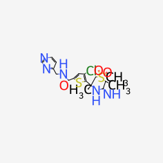 CC1(C)C(=N)N[C@](C)(c2sc(C(=O)NCc3ccncn3)cc2Cl)CS1(=O)=O